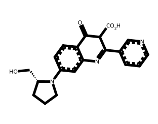 O=C(O)C1C(=O)c2ccc(N3CCC[C@@H]3CO)cc2N=C1c1cccnc1